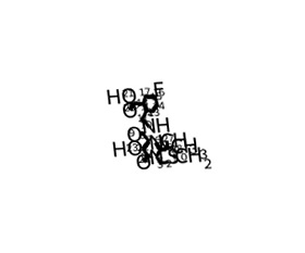 C=S1CCn2c(nc(C(=O)NCc3ccc(F)cc3C(=O)O)c(O)c2=O)C1(C)C